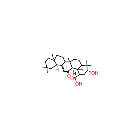 CC1(C)CC[C@]2(C)CC[C@]3(C)C(=CC(=O)[C@@H]4[C@@]5(C)C(C(=O)O)C[C@H](O)C(C)(C)C5CC[C@]43C)[C@H]2C1